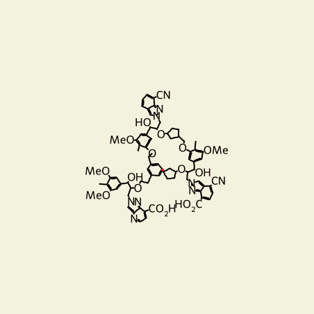 COc1cc(C(O)C(Cn2cc3nccc(C(=O)O)c3n2)OCCc2cccc(COc3cc(C(O)C(Cn4cc5cccc(C#N)c5n4)OC4CCC(COc5cc(C(O)C(Cn6cc7c(C#N)ccc(C(=O)O)c7n6)OC6CCCC6)cc(OC)c5C)C4)cc(OC)c3C)c2)cc(OC)c1C